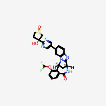 O=C1N[C@@H]2C[C@H](c3c(OC(F)F)cccc31)n1c2nc2ccc(-c3cnc([C@@]4(O)CC[S+]([O-])C4)nc3)cc21